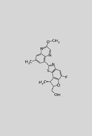 COc1cnc2c(-c3nc4cc(F)c5c(c4s3)[C@H](C)C(CO)O5)cc(C)cc2n1